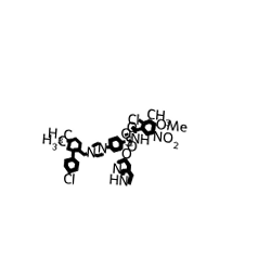 COc1c([N+](=O)[O-])cc(C(=O)NS(=O)(=O)c2ccc(N3CCN(CC4=C(c5ccc(Cl)cc5)CC(C)(C)CC4)CC3)cc2Oc2cnc3[nH]ccc3c2)c(Cl)c1C